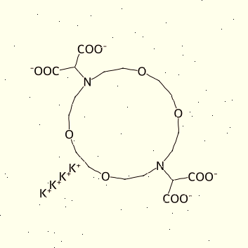 O=C([O-])C(C(=O)[O-])N1CCOCCOCCN(C(C(=O)[O-])C(=O)[O-])CCOCCOCC1.[K+].[K+].[K+].[K+]